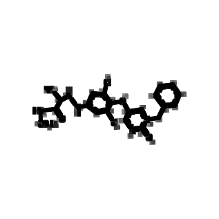 CCOC(=O)NC(=O)C(C#N)NNc1cc(Cl)c(Oc2cnc(=O)n(Cc3ccccc3)c2)c(Cl)c1